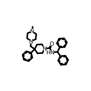 CN1CCN(CC2(c3ccccc3)CCN(C(=O)NC(c3ccccc3)c3ccccc3)CC2)CC1